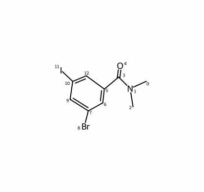 CN(C)C(=O)c1cc(Br)cc(I)c1